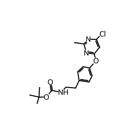 Cc1nc(Cl)cc(Oc2ccc(CCNC(=O)OC(C)(C)C)cc2)n1